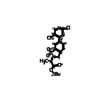 C[C@H](C(=O)OC(C)(C)C)N1Cc2ccc(-c3nc(Cl)ncc3Cl)cc2S1(=O)=O